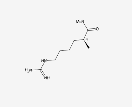 CNC(=O)[C@@H](C)CCCCNC(=N)N